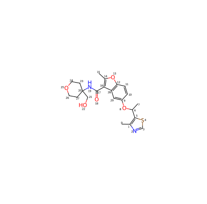 Cc1ncsc1C(C)Oc1ccc2oc(C)c(C(=O)NC3(CO)CCOCC3)c2c1